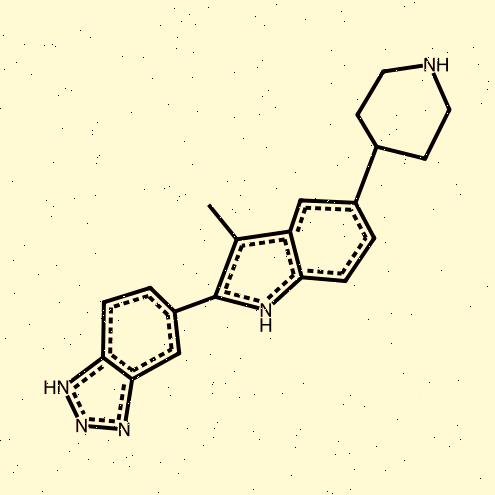 Cc1c(-c2ccc3[nH]nnc3c2)[nH]c2ccc(C3CCNCC3)cc12